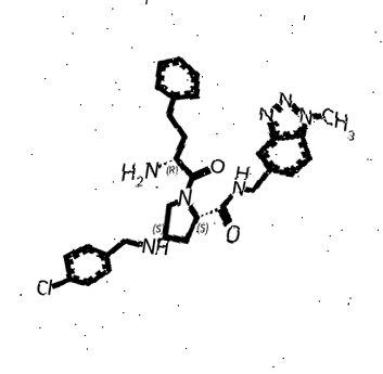 Cn1nnc2cc(CNC(=O)[C@@H]3C[C@H](NCc4ccc(Cl)cc4)CN3C(=O)[C@H](N)CCc3ccccc3)ccc21